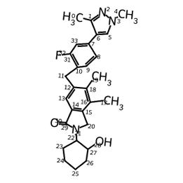 Cc1nn(C)cc1-c1ccc(Cc2cc3c(c(C)c2C)CN(C2CCCCC2O)C3=O)c(F)c1